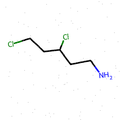 NCCC(Cl)CCCl